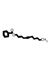 CCCCCC#CCC=CCOC(=O)c1ccccc1